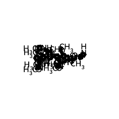 CCCCc1nc(C)c(CC(=O)N2CCC3(CCNC3)C2)c(=O)n1Cc1ccc(-c2ccc(C(CCC)c3nc(C)c(CC(=O)NC4CCN(C)CC4)c(=O)n3Cc3ccc(-c4ccccc4S(=O)(=O)Nc4noc(C)c4C)c(COCC)c3)cc2S(=O)(=O)Nc2noc(C)c2C)c(COCC)c1